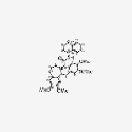 COc1ccc(CC2c3cc(OC)c(OC)cc3SCCN2CC(=O)NC2CCCc3ccccc32)cc1OC